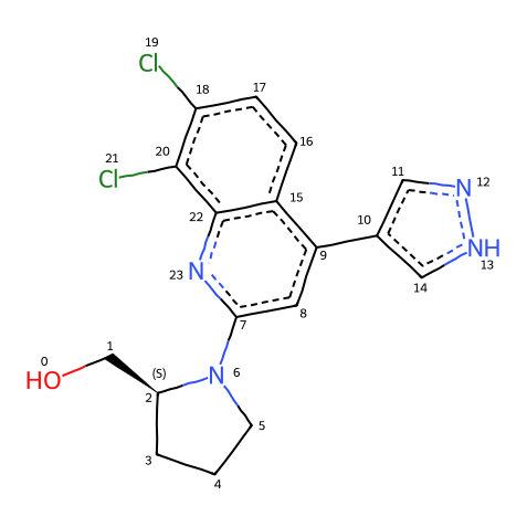 OC[C@@H]1CCCN1c1cc(-c2cn[nH]c2)c2ccc(Cl)c(Cl)c2n1